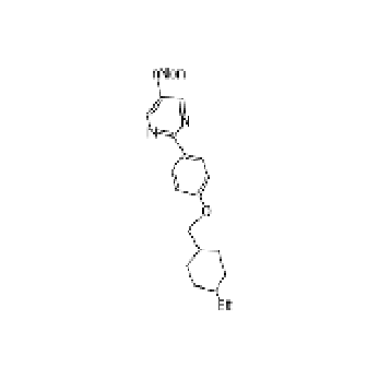 CCCCCCCCCc1cnc(-c2ccc(OCC3CCC(CC)CC3)cc2)nc1